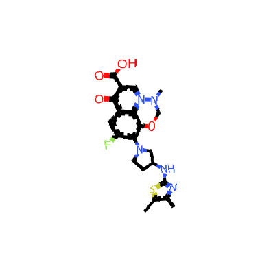 Cc1nc(NC2CCN(c3c(F)cc4c(=O)c(C(=O)O)cn5c4c3OCN5C)C2)sc1C